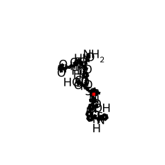 Cc1c(-c2ccc(N3CCc4cccc(C(=O)Nc5nc6ccccc6s5)c4C3)nc2C(=O)O)cnn1CC12CC3(C)CC(C)(C1)CC(SCCN(CCS(=O)(=O)O)C(=O)OCc1ccc(NC(=O)[C@H](CCCNC(N)=O)NC(=O)[C@@H](NC(=O)CCCCCN4C(=O)C=CC4=O)C(C)C)cc1)(C3)C2